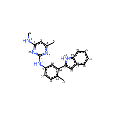 CNc1cc(C)nc(Nc2ccc(C)c(-c3cc4ccccc4[nH]3)c2)n1